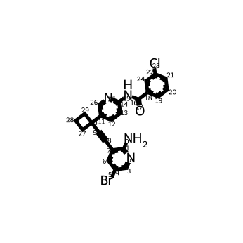 Nc1ncc(Br)cc1C#CC1(c2ccc(NC(=O)c3cccc(Cl)c3)nc2)CCC1